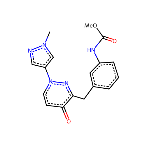 COC(=O)Nc1cccc(Cc2nn(-c3cnn(C)c3)ccc2=O)c1